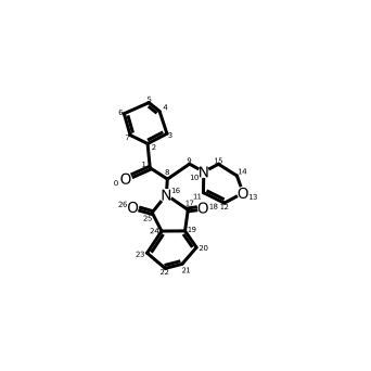 O=C(c1ccccc1)C(CN1C=COCC1)N1C(=O)c2ccccc2C1=O